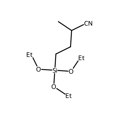 CCO[Si](CCC(C)C#N)(OCC)OCC